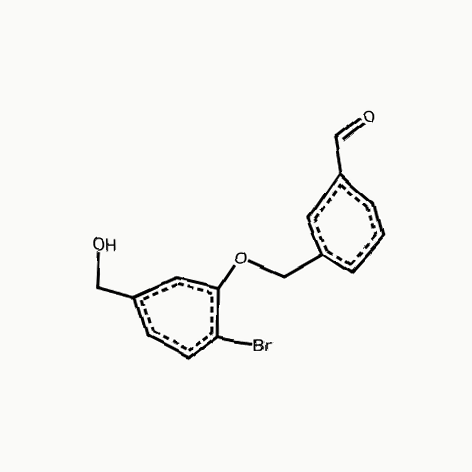 O=Cc1cccc(COc2cc(CO)ccc2Br)c1